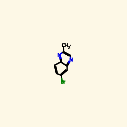 [CH2]c1cnc2cc(Br)ccc2n1